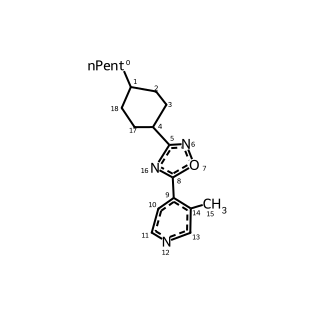 CCCCCC1CCC(c2noc(-c3ccncc3C)n2)CC1